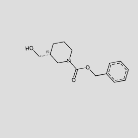 O=C(OCc1ccccc1)N1CCC[C@@H](CO)C1